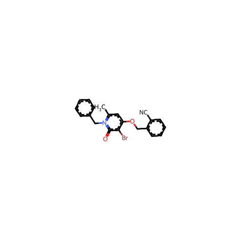 Cc1cc(OCc2ccccc2C#N)c(Br)c(=O)n1Cc1ccccc1